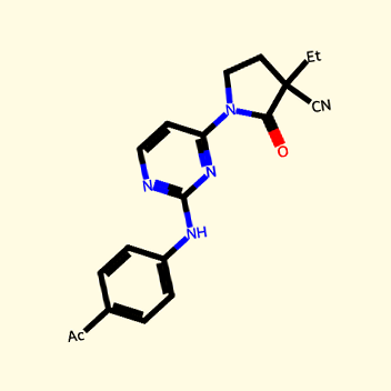 CCC1(C#N)CCN(c2ccnc(Nc3ccc(C(C)=O)cc3)n2)C1=O